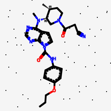 CCCOc1ccc(NC(=O)n2ccc3c(N(C)[C@H]4CN(C(=O)CC#N)CC[C@H]4C)ncnc32)cc1